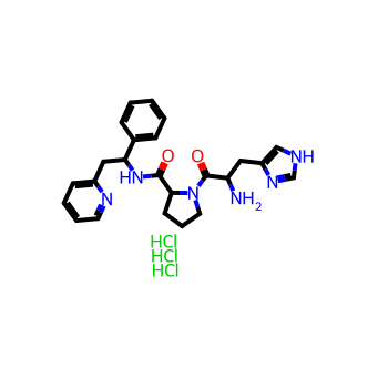 Cl.Cl.Cl.NC(Cc1c[nH]cn1)C(=O)N1CCCC1C(=O)NC(Cc1ccccn1)c1ccccc1